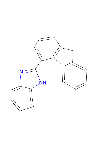 c1ccc2c(c1)Cc1cccc(-c3nc4ccccc4[nH]3)c1-2